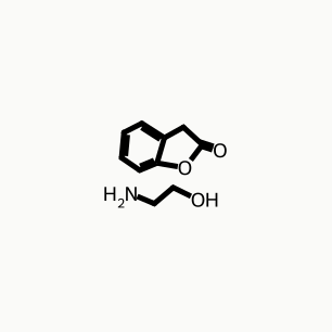 NCCO.O=C1Cc2ccccc2O1